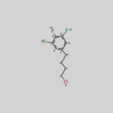 [O]CCCCc1cc(F)c(F)c(F)c1